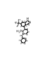 CC1C(c2cc(C(F)(F)F)cc3[nH]ncc23)=CC=CN1Cc1ccccn1